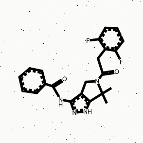 CC1(C)c2[nH]nc(NC(=O)c3ccccc3)c2CN1C(=O)Cc1c(F)cccc1F